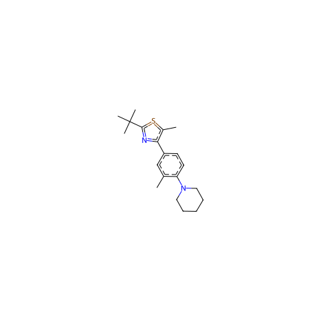 Cc1cc(-c2nc(C(C)(C)C)sc2C)ccc1N1CCCCC1